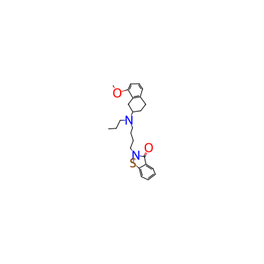 CCCN(CCCCn1sc2ccccc2c1=O)C1CCc2cccc(OC)c2C1